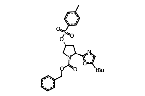 Cc1ccc(S(=O)(=O)O[C@@H]2C[C@@H](c3ncc(C(C)(C)C)o3)N(C(=O)OCc3ccccc3)C2)cc1